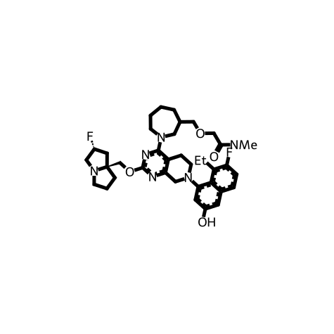 CCc1c(F)ccc2cc(O)cc(N3CCc4c(nc(OC[C@@]56CCCN5C[C@H](F)C6)nc4N4CCCCC(COCC(=O)NC)C4)C3)c12